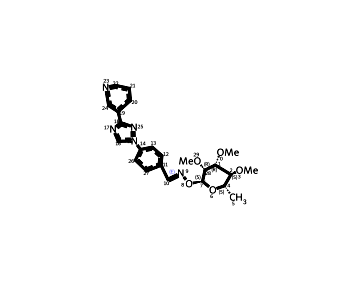 CO[C@@H]1[C@@H](OC)[C@H](C)O[C@@H](O/N=C/c2ccc(-n3cnc(-c4cccnc4)n3)cc2)[C@@H]1OC